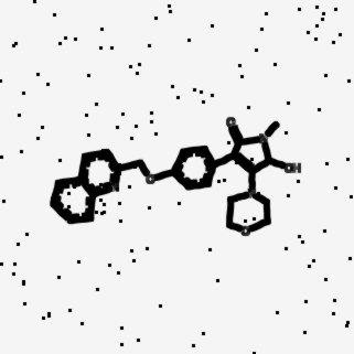 CN1C(=O)C(c2ccc(OCc3ccc4ccccc4n3)cc2)=C(N2CCOCC2)C1O